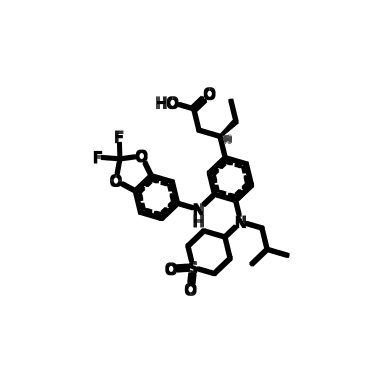 CC[C@H](CC(=O)O)c1ccc(N(CC(C)C)C2CCS(=O)(=O)CC2)c(Nc2ccc3c(c2)OC(F)(F)O3)c1